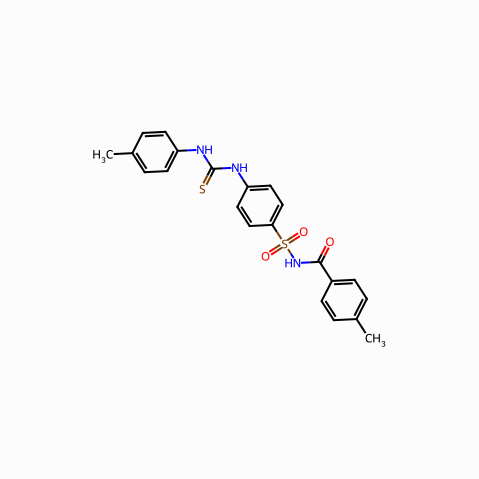 Cc1ccc(NC(=S)Nc2ccc(S(=O)(=O)NC(=O)c3ccc(C)cc3)cc2)cc1